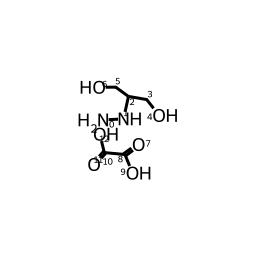 NNC(CO)CO.O=C(O)C(=O)O